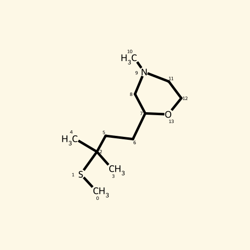 CSC(C)(C)CCC1CN(C)CCO1